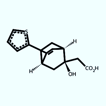 O=C(O)C[C@]1(O)C[C@H]2CC[C@@H]1C=C2c1cccs1